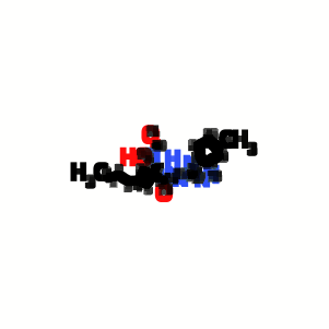 CCCCC1CC(CN(O)C=O)(C(=O)NNc2nnc3cc(C)ccc3n2)C1